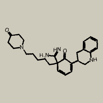 N=C(N)C1(CCCCCN2CCC(=O)CC2)C=CC=C(C2CNc3ccccc3C2)C1=O